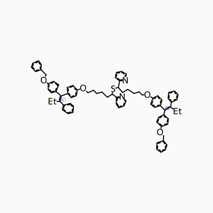 CC/C(=C(/c1ccc(OCCCCCC(SC(CCCCCOc2ccc(/C(=C(/CC)c3ccccc3)c3ccc(OCc4ccccc4)cc3)cc2)c2ccccn2)c2ccccn2)cc1)c1ccc(OCc2ccccc2)cc1)c1ccccc1